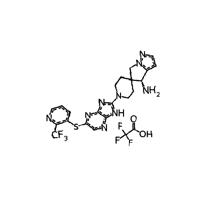 N[C@@H]1c2ccnn2CC12CCN(c1nc3nc(Sc4cccnc4C(F)(F)F)cnc3[nH]1)CC2.O=C(O)C(F)(F)F